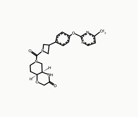 O=C1CO[C@H]2CCN(C(=O)N3CC(c4ccc(Oc5nccc(C(F)(F)F)n5)cc4)C3)C[C@H]2N1